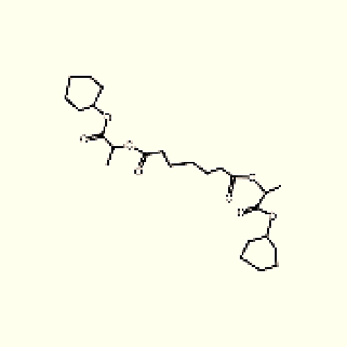 CC(OC(=O)CCCCCC(=O)OC(C)C(=O)OC1CCCCC1)C(=O)OC1CCCCC1